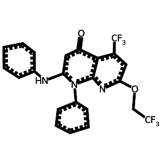 O=c1cc(Nc2ccccc2)n(-c2ccccc2)c2nc(OCC(F)(F)F)cc(C(F)(F)F)c12